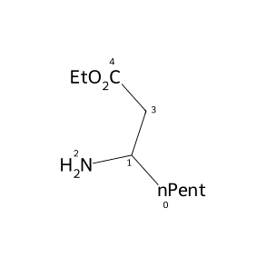 CCCCCC(N)CC(=O)OCC